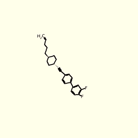 C=CCCC[C@H]1CC[C@H](C#Cc2ccc(-c3ccc(F)c(F)c3)cc2)CC1